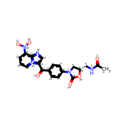 CC(=O)NC[C@H]1CN(c2ccc(C(=O)c3cnc4c([N+](=O)[O-])cccn34)cc2)C(=O)O1